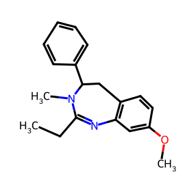 CCC1=Nc2cc(OC)ccc2CC(c2ccccc2)N1C